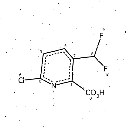 O=C(O)c1nc(Cl)ccc1C(F)F